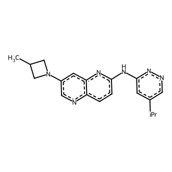 CC1CN(c2cnc3ccc(Nc4cc(C(C)C)cnn4)nc3c2)C1